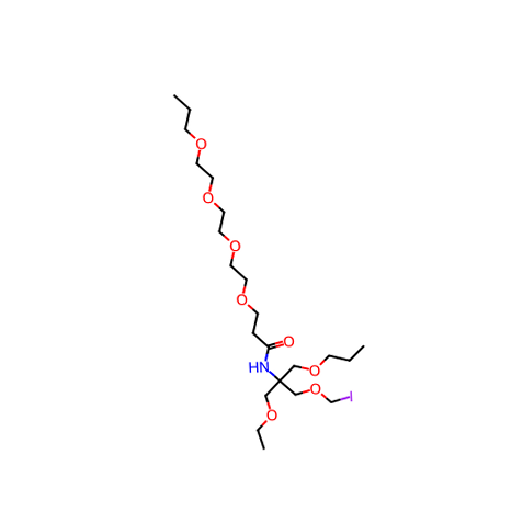 CCCOCCOCCOCCOCCC(=O)NC(COCC)(COCI)COCCC